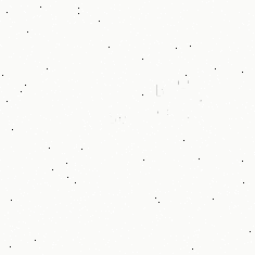 CC1(C)OB(c2cccc3c2[se]c2c(-c4ccccc4)cccc23)OC1(C)C